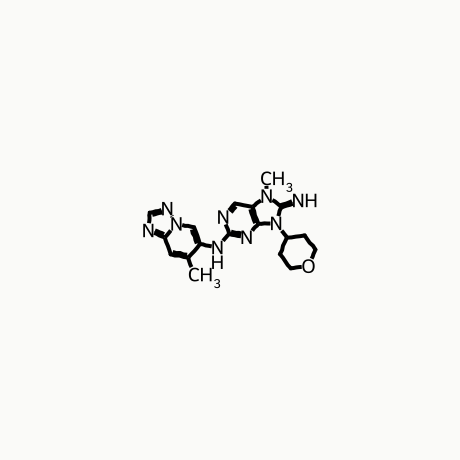 Cc1cc2ncnn2cc1Nc1ncc2c(n1)n(C1CCOCC1)c(=N)n2C